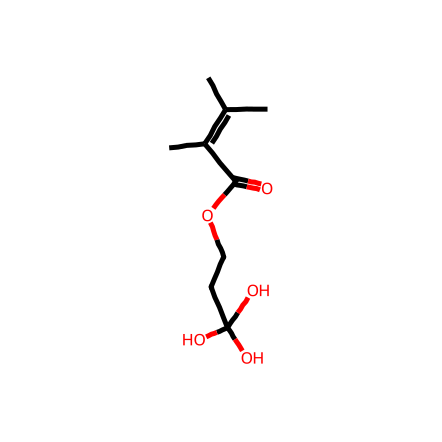 CC(C)=C(C)C(=O)OCCC(O)(O)O